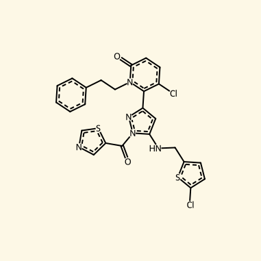 O=C(c1cncs1)n1nc(-c2c(Cl)ccc(=O)n2CCc2ccccc2)cc1NCc1ccc(Cl)s1